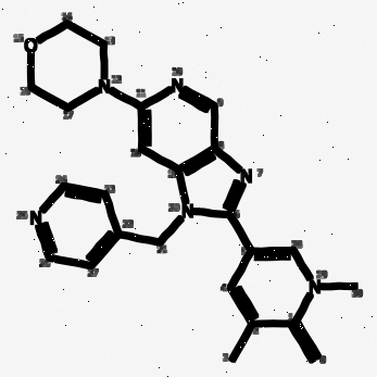 C=C1C(C)=CC(c2nc3cnc(N4CCOCC4)cc3n2Cc2ccncc2)=CN1C